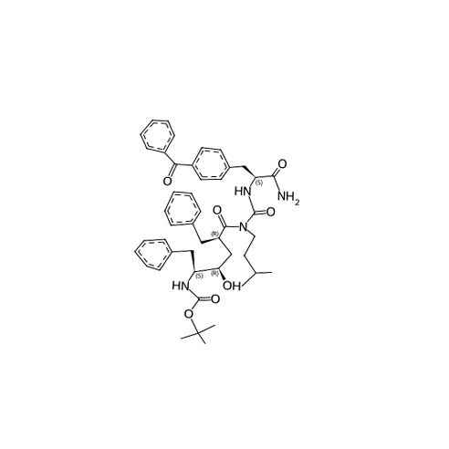 CC(C)CCN(C(=O)N[C@@H](Cc1ccc(C(=O)c2ccccc2)cc1)C(N)=O)C(=O)[C@H](Cc1ccccc1)C[C@@H](O)[C@H](Cc1ccccc1)NC(=O)OC(C)(C)C